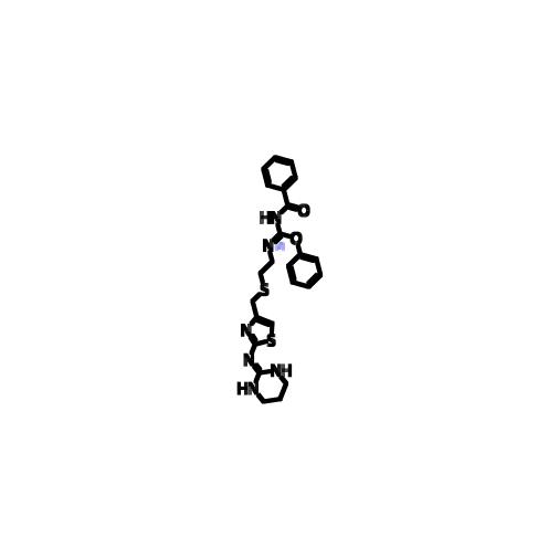 O=C(N/C(=N/CCSCc1csc(N=C2NCCCN2)n1)Oc1ccccc1)c1ccccc1